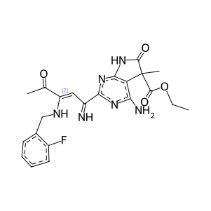 CCOC(=O)C1(C)C(=O)Nc2nc(C(=N)/C=C(\NCc3ccccc3F)C(C)=O)nc(N)c21